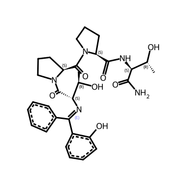 C[C@@H](O)[C@H](/N=C(\c1ccccc1)c1ccccc1O)C(=O)N1CCC[C@H]1C(=O)N1CCC[C@H]1C(=O)N[C@H](C(N)=O)[C@@H](C)O